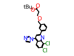 CC(C)(C)OC(=O)CCOCc1cccc(-c2cc(-n3ccnc3)c3ccc(Cl)c(Cl)c3n2)c1